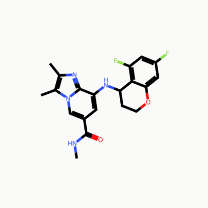 CNC(=O)c1cc(NC2CCOc3cc(F)cc(F)c32)c2nc(C)c(C)n2c1